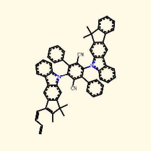 C=C/C=C\C1=C(C)C(C)(C)c2cc3c(cc21)c1ccccc1n3-c1c(C#N)c(-c2ccccc2)c(-n2c3ccccc3c3cc4c(cc32)C(C)(C)c2ccccc2-4)c(C#N)c1-c1ccccc1